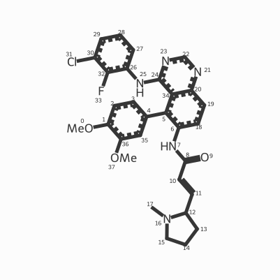 COc1ccc(-c2c(NC(=O)/C=C/C3CCCN3C)ccc3ncnc(Nc4cccc(Cl)c4F)c23)cc1OC